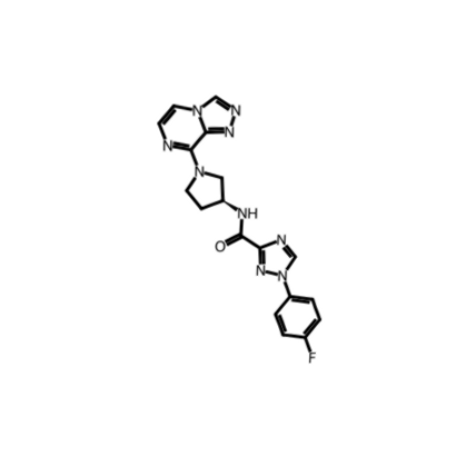 O=C(N[C@H]1CCN(c2nccn3cnnc23)C1)c1ncn(-c2ccc(F)cc2)n1